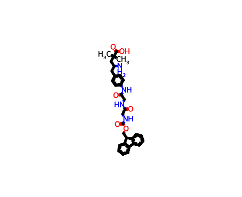 CC(C)(CC(N)Cc1ccc(NC(=O)CNC(=O)CNC(=O)OCC2c3ccccc3-c3ccccc32)cc1)C(=O)O